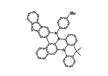 CC(C)(C)c1ccc(N2B3c4cccc5c4N(c4ccccc4C5(C)C)c4cc5ccccc5c(c43)-c3cc4sc5ccccc5c4cc32)cc1